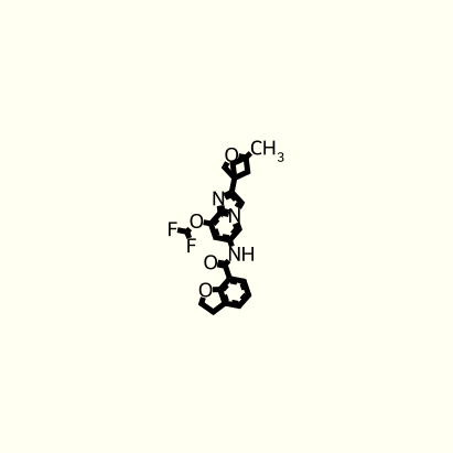 CC12CC(c3cn4cc(NC(=O)c5cccc6c5OCC6)cc(OC(F)F)c4n3)(CO1)C2